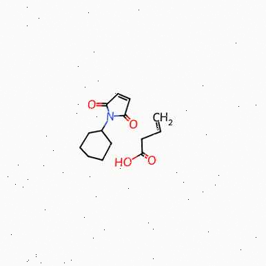 C=CCC(=O)O.O=C1C=CC(=O)N1C1CCCCC1